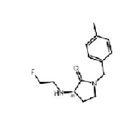 Cc1ccc(CN2CC[C@@H](NCCF)C2=O)cc1